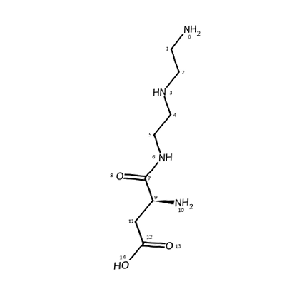 NCCNCCNC(=O)[C@@H](N)CC(=O)O